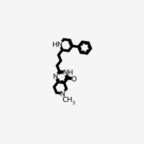 CN1CCc2nc(CCCC3CC(c4ccccc4)=CCN3)[nH]c(=O)c2C1